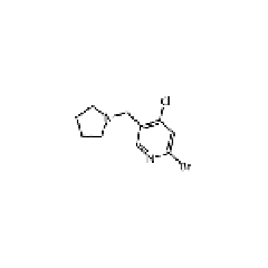 Clc1cc(Br)ncc1CN1CCCC1